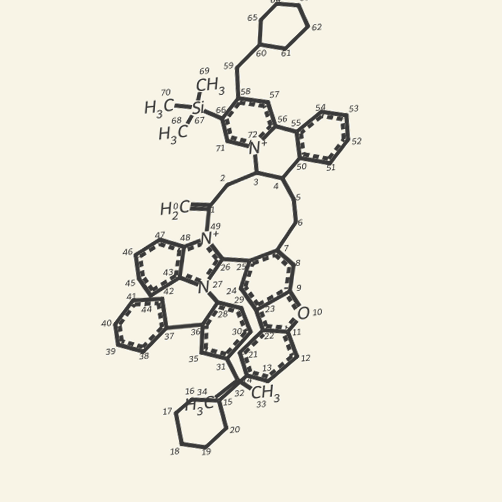 C=C1CC2C(CCc3cc4oc5ccc(C6CCCCC6)cc5c4cc3-c3n(-c4ccc(C(C)C)cc4-c4ccccc4)c4ccccc4[n+]31)c1ccccc1-c1cc(CC3CCCCC3)c([Si](C)(C)C)c[n+]12